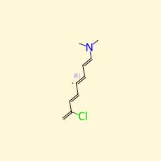 C=C(Cl)C=C/[C]=C/C=CN(C)C